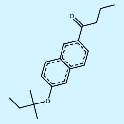 CCCC(=O)c1ccc2cc(OC(C)(C)CC)ccc2c1